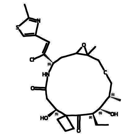 CC[C@H]1C(=O)C2(CCC2)[C@@H](O)CC(=O)N[C@H](C(Cl)=Cc2csc(C)n2)CC2OC2(C)CCC[C@H](C)[C@@H]1O